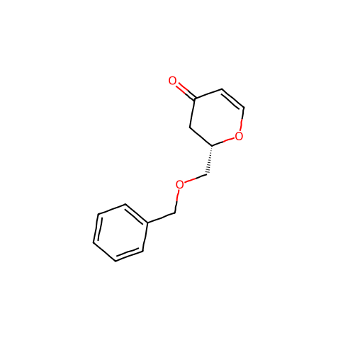 O=C1C=CO[C@H](COCc2ccccc2)C1